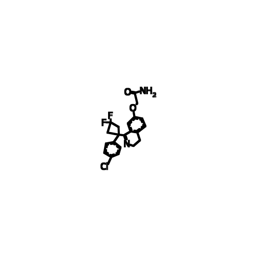 NC(=O)COc1ccc2c(c1)C(C1(c3ccc(Cl)cc3)CC(F)(F)C1)=NCC2